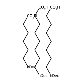 CCCCCCCCCCCCCCCC(=O)O.CCCCCCCCCCCCCCCCCC(=O)O.CCCCCCCCCCCCCCCCCC(=O)O